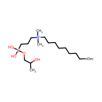 CCCCCCCCCCCCCCCCCC[N+](C)(C)CCC[Si](O)(O)OCC(C)O